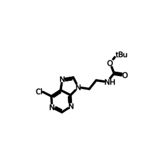 CC(C)(C)OC(=O)NCCn1cnc2c(Cl)ncnc21